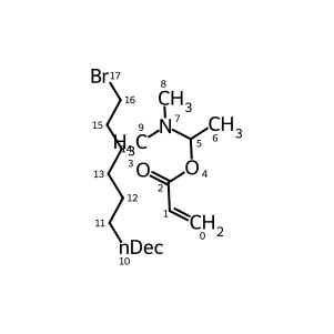 C=CC(=O)OC(C)N(C)C.CCCCCCCCCCCCCCCCBr